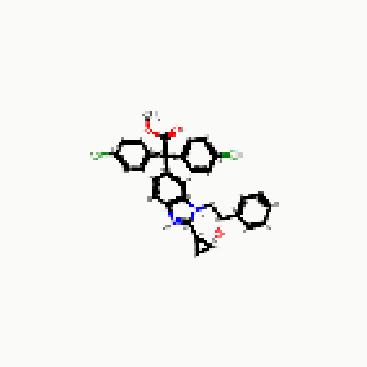 COC(=O)C(c1ccc(Cl)cc1)(c1ccc(Cl)cc1)c1ccc2nc(C3CC3)n(C[C@@H](O)c3ccccc3)c2c1